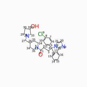 O=C(CCC1(c2ccc(Cl)cc2)c2ccccc2-c2nccn21)N1CCC(CN2CCC(O)C2)CC1